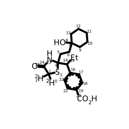 [2H]C1([2H])SC(CCC2(O)CCCCC2)(C(CC)c2ccc(C(=O)O)cc2)NC1=O